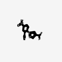 N#Cc1cc([N+](=O)[O-])ccc1-n1cc(C(F)F)cn1